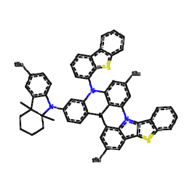 CC(C)(C)c1cc2c3c(c1)-n1c4c(cc(C(C)(C)C)cc4c4sc5ccccc5c41)B3c1ccc(N3c4ccc(C(C)(C)C)cc4C4(C)CCCCC34C)cc1N2c1cccc2c1sc1ccccc12